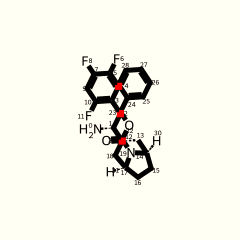 N[C@H](Cc1cc(F)c(F)cc1F)[C@@H]1C[C@H]2CC[C@@H](C1)N2C(=O)OCc1ccccc1